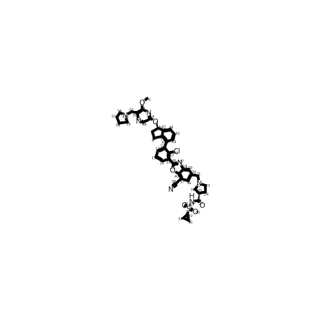 COc1nc(O[C@@H]2CCc3c(-c4cccc(-c5nc6cc(CN7CC[C@@H](C(=O)NS(=O)(=O)C8CC8)C7)cc(C#N)c6o5)c4Cl)cccc32)cnc1CN1CCCC1